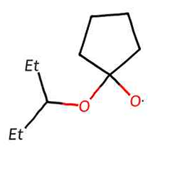 CCC(CC)OC1([O])CCCC1